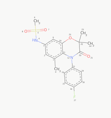 Cc1cc(NS(C)(=O)=O)cc2c1N(c1ccc(F)cc1)C(=O)C(C)(C)O2